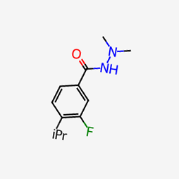 CC(C)c1ccc(C(=O)NN(C)C)cc1F